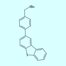 CC(C)(C)Cc1ccc(-c2ccc3sc4ccccc4c3c2)cc1